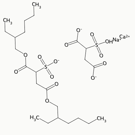 CCCCC(CC)COC(=O)CC(C(=O)OCC(CC)CCCC)S(=O)(=O)[O-].O=C([O-])CC(C(=O)[O-])S(=O)(=O)O.[Ca+2].[Na+]